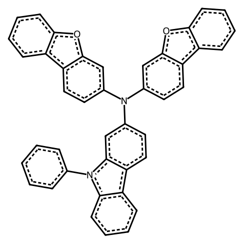 c1ccc(-n2c3ccccc3c3ccc(N(c4ccc5c(c4)oc4ccccc45)c4ccc5c(c4)oc4ccccc45)cc32)cc1